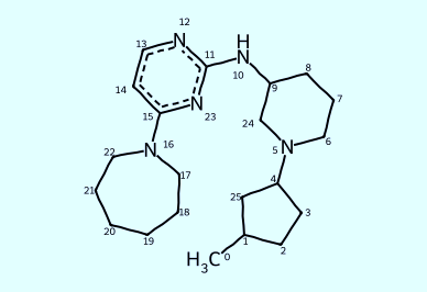 CC1CCC(N2CCCC(Nc3nccc(N4CCCCCC4)n3)C2)C1